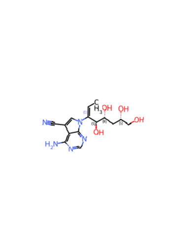 C/C=C(\[C@H](O)[C@H](O)C[C@H](O)CO)n1cc(C#N)c2c(N)ncnc21